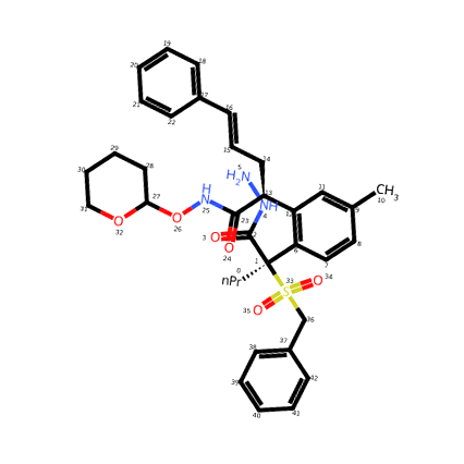 CCC[C@](C(=O)NN)(c1ccc(C)cc1[C@H](C/C=C/c1ccccc1)C(=O)NOC1CCCCO1)S(=O)(=O)Cc1ccccc1